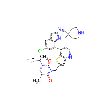 Cc1cn(C(C)C)c(=O)n(Cc2cc3nccc(-c4cc(Cl)cc5ccn(CC6(C#N)CCNCC6)c45)c3s2)c1=O